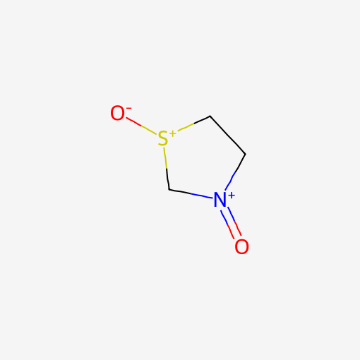 O=[N+]1CC[S+]([O-])C1